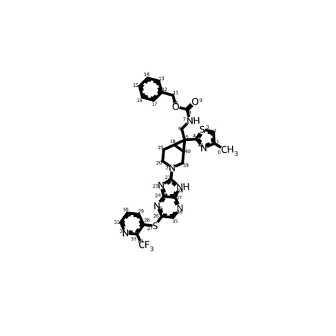 Cc1csc(C2(CNC(=O)OCc3ccccc3)C3CCN(c4nc5nc(Sc6cccnc6C(F)(F)F)cnc5[nH]4)CC32)n1